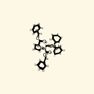 C1CCC(NC2CCCCC2)CC1.O=C(O)CN(C(=O)OCc1ccccc1)N1CCCC1C(=O)OCc1ccccc1